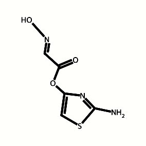 Nc1nc(OC(=O)C=NO)cs1